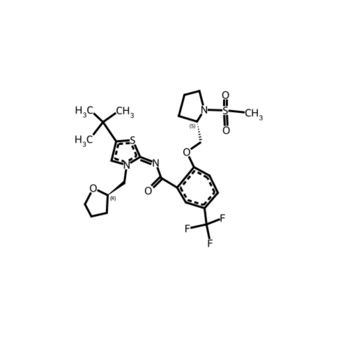 CC(C)(C)c1cn(C[C@H]2CCCO2)c(=NC(=O)c2cc(C(F)(F)F)ccc2OC[C@@H]2CCCN2S(C)(=O)=O)s1